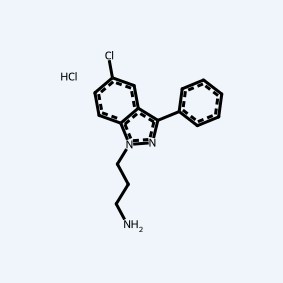 Cl.NCCCn1nc(-c2ccccc2)c2cc(Cl)ccc21